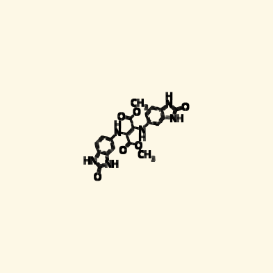 COC(=O)/C(Nc1ccc2[nH]c(=O)[nH]c2c1)=C(\Nc1ccc2[nH]c(=O)[nH]c2c1)C(=O)OC